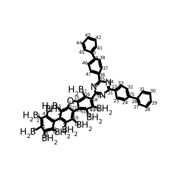 Bc1c(B)c(B)c(-c2c(B)c(B)c3c(oc4c(B)c(-c5nc(-c6ccc(-c7ccccc7)cc6)nc(-c6ccc(-c7ccccc7)cc6)n5)c(B)c(B)c43)c2B)c(B)c1B